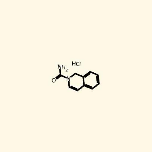 Cl.NC(=O)N1C=Cc2ccccc2C1